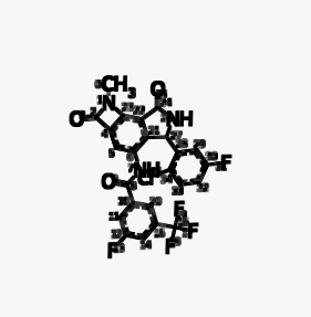 CN1C(=O)c2cc(NC(=O)c3cc(F)cc(C(F)(F)F)c3)c3c(c21)C(=O)NC3c1cc(F)ccc1Cl